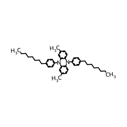 CCCCCCCCc1ccc(N2c3ccc(C)cc3N(c3ccc(CCCCCCCC)cc3)c3cc(C)ccc32)cc1